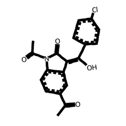 CC(=O)c1ccc2c(c1)C(=C(O)c1ccc(Cl)cc1)C(=O)N2C(C)=O